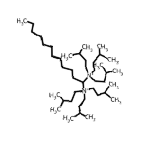 CCCCCCCCCCCC([N+](CCC(C)C)(CCC(C)C)CCC(C)C)[N+](CCC(C)C)(CCC(C)C)CCC(C)C